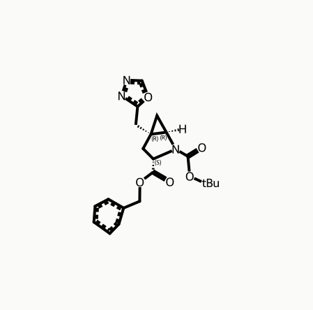 CC(C)(C)OC(=O)N1[C@H](C(=O)OCc2ccccc2)C[C@@]2(Cc3nnco3)C[C@@H]12